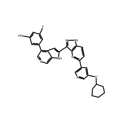 Oc1cc(F)cc(-c2cncc3[nH]c(-c4n[nH]c5ccc(-c6cncc(OC7CCCCC7)c6)nc45)cc23)c1